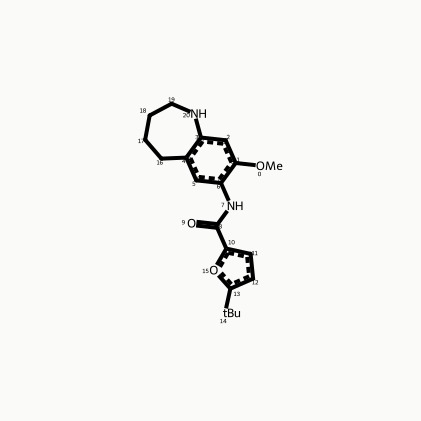 COc1cc2c(cc1NC(=O)c1ccc(C(C)(C)C)o1)CCCCN2